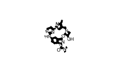 Cc1nn(-c2ccnc(Nc3ccc4c(c3)c(Cl)nn4C(=O)N(C)C)n2)cc1CN1CC(O)C1